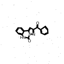 O=C(c1ccccc1)c1cc2c3ccccc3[nH]c(=O)n2n1